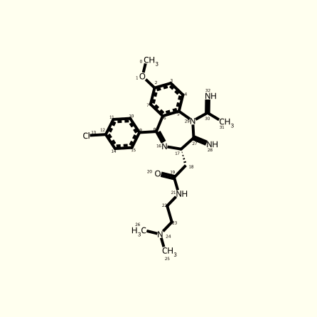 COc1ccc2c(c1)C(c1ccc(Cl)cc1)=N[C@@H](CC(=O)NCCN(C)C)C(=N)N2C(C)=N